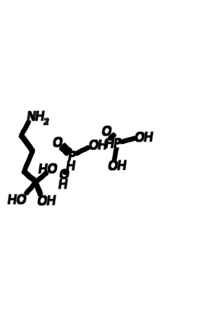 NCCCC(O)(O)O.O=[PH](O)O.O=[PH](O)O